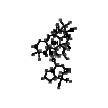 CC1=CC23C(O)[C@@H](C=C4COC(C)(C)O[C@H]4[C@]2(O)[C@H]1OC(CO)N1CCCC1C(F)(F)F)[C@H]1[C@@H](C[C@H]3C)C1(C)C